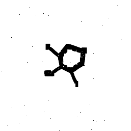 CC(C)(C)c1c(F)cncc1I